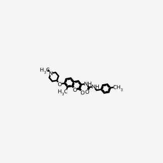 Cc1ccc(CNC(=O)Nc2cc3ccc(OC4CCN(C)CC4)c(C)c3oc2=O)cc1